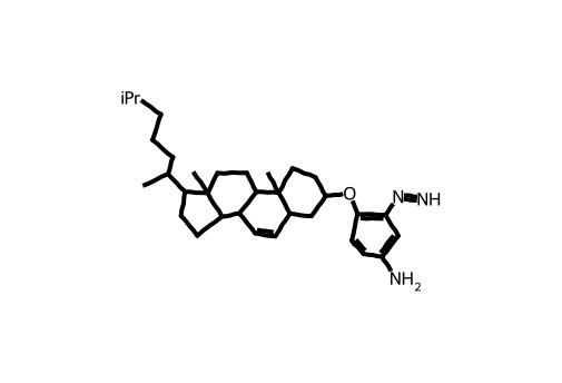 CC(C)CCCC(C)C1CCC2C3C=CC4CC(Oc5ccc(N)cc5N=N)CCC4(C)C3CCC12C